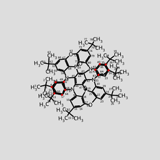 CC(C)(C)c1ccc(N2c3cc(C(C)(C)C)cc4c3P3(=O)c5c(cc(C(C)(C)C)cc5N(c5ccc(C(C)(C)C)cc5)c5c6c7c(c2c53)N(c2ccc(C(C)(C)C)cc2)c2cc(C(C)(C)C)cc3c2P7(=O)c2c(cc(C(C)(C)C)cc2N6c2ccc(C(C)(C)C)cc2)O3)O4)cc1